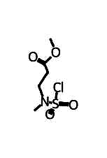 COC(=O)CCN(C)S(=O)(=O)Cl